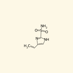 C=Cc1c[nH]c(S(N)(=O)=O)n1